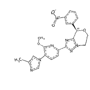 COc1nc(-c2nc3n(n2)CCO[C@@H]3c2cccc([N+](=O)[O-])c2)ccc1-n1cnc(C)c1